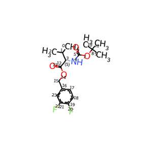 CC(C)[C@H](NC(=O)OC(C)(C)C)C(=O)OCc1ccc(F)c(F)c1